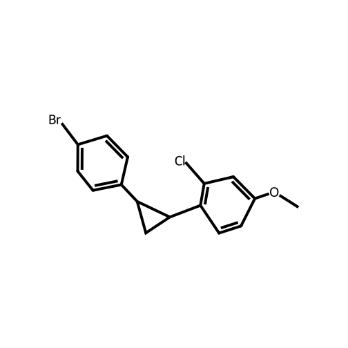 COc1ccc(C2CC2c2ccc(Br)cc2)c(Cl)c1